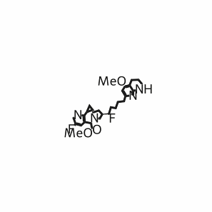 COC(=O)C(c1cc(F)cnc1C1CC1)N1CC[C@@H](C(F)CCCCc2cc(OC)c3c(n2)NCCC3)C1